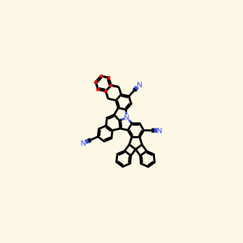 N#Cc1ccc2c(c1)cc1c3c4c(c(C#N)cc3n3c5cc(C#N)c6c(c5c2c13)C1c2ccccc2C12c1ccccc1C62)C1c2ccccc2C4c2ccccc21